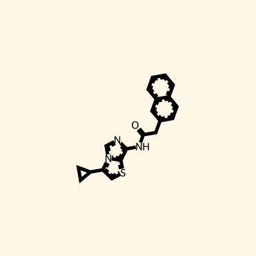 O=C(Cc1ccc2ccccc2c1)Nc1ncn2c(C3CC3)csc12